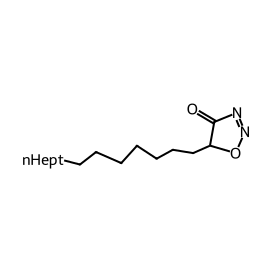 CCCCCCCCCCCCCCC1ON=NC1=O